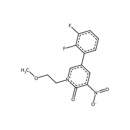 COCCn1cc(-c2cccc(F)c2F)cc([N+](=O)[O-])c1=O